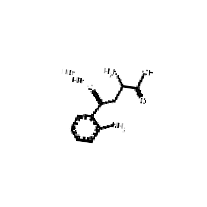 Br.Br.Nc1ccccc1C(=O)CC(N)C(=O)O